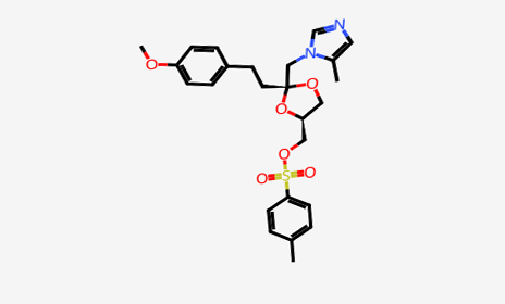 COc1ccc(CC[C@@]2(Cn3cncc3C)OC[C@@H](COS(=O)(=O)c3ccc(C)cc3)O2)cc1